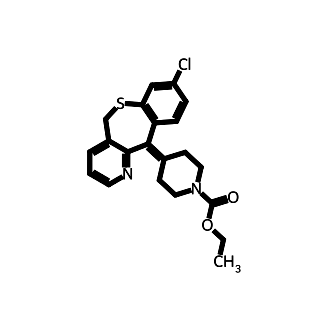 CCOC(=O)N1CCC(=C2c3ccc(Cl)cc3SCc3cccnc32)CC1